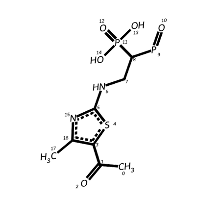 CC(=O)c1sc(NCC(P=O)P(=O)(O)O)nc1C